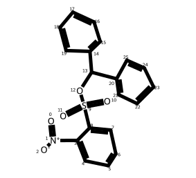 O=[N+]([O-])c1ccccc1S(=O)(=O)OC(c1ccccc1)c1ccccc1